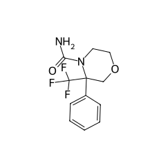 NC(=O)N1CCOCC1(c1ccccc1)C(F)(F)F